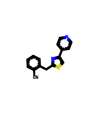 N#Cc1ccccc1Cc1nc(-c2ccncc2)cs1